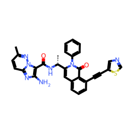 Cc1ccc2nc(N)c(C(=O)N[C@H](C)c3cc4cccc(C#Cc5cncs5)c4c(=O)n3-c3ccccc3)n2n1